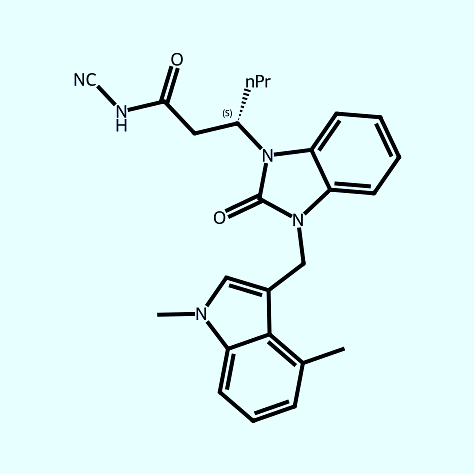 CCC[C@@H](CC(=O)NC#N)n1c(=O)n(Cc2cn(C)c3cccc(C)c23)c2ccccc21